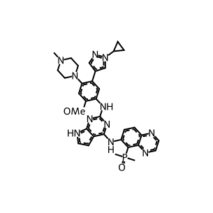 COc1cc(N2CCN(C)CC2)c(-c2cnn(C3CC3)c2)cc1Nc1nc(Nc2ccc3nccnc3c2P(C)(C)=O)c2cc[nH]c2n1